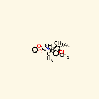 CC(=O)O[C@@H]1[CH][C@@]2(O)[C@H](C)CC[C@@H](C(C)CN(C)CC3COc4ccccc4O3)[C@H]2C=C1C